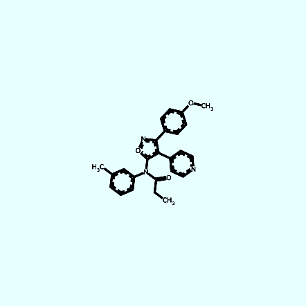 CCC(=O)N(c1cccc(C)c1)c1onc(-c2ccc(OC)cc2)c1-c1ccncc1